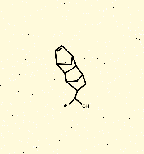 CC(C)C(O)C1CC2CC1C1C3C=CC(C3)C21